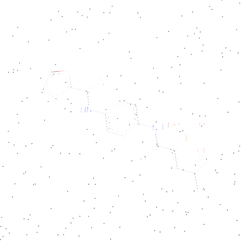 CC(C)CC(C(=O)Nc1ccc(NC(=O)c2ccco2)cc1)P(=O)(O)O